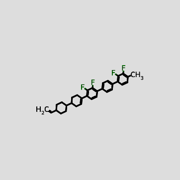 C=CC1CCC(C2CC=C(c3ccc(-c4ccc(-c5ccc(C)c(F)c5F)cc4)c(F)c3F)CC2)CC1